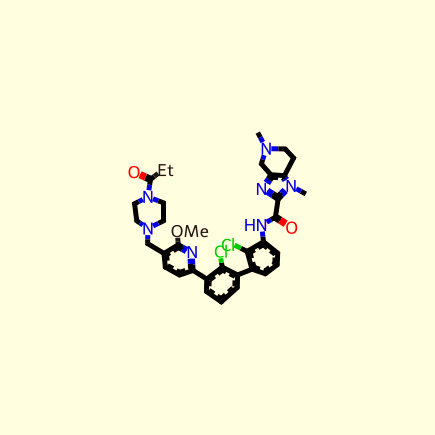 CCC(=O)N1CCN(Cc2ccc(-c3cccc(-c4cccc(NC(=O)c5nc6c(n5C)CCN(C)C6)c4Cl)c3Cl)nc2OC)CC1